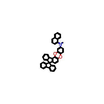 CN(c1ccc2c(c1)Oc1c(ccc3c1-c1ccccc1C31c3ccccc3-c3ccccc31)O2)c1cccc2ccccc12